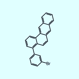 Brc1cccc(-c2cccc3c2ccc2cc4ccccc4cc23)c1